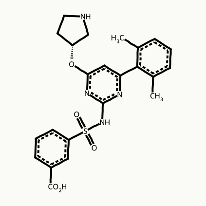 Cc1cccc(C)c1-c1cc(O[C@@H]2CCNC2)nc(NS(=O)(=O)c2cccc(C(=O)O)c2)n1